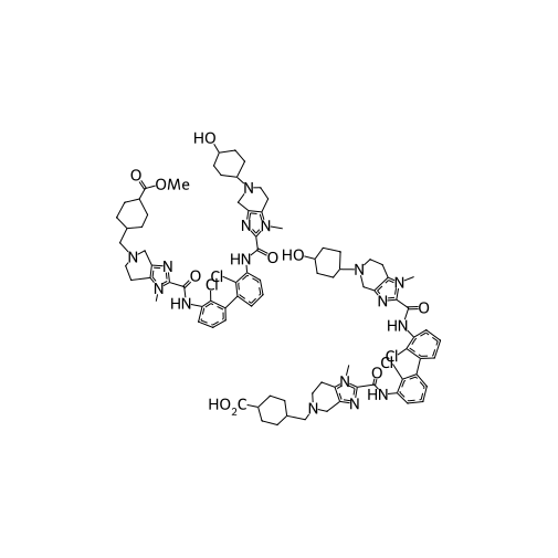 COC(=O)C1CCC(CN2CCc3c(nc(C(=O)Nc4cccc(-c5cccc(NC(=O)c6nc7c(n6C)CCN(C6CCC(O)CC6)C7)c5Cl)c4Cl)n3C)C2)CC1.Cn1c(C(=O)Nc2cccc(-c3cccc(NC(=O)c4nc5c(n4C)CCN(C4CCC(O)CC4)C5)c3Cl)c2Cl)nc2c1CCN(CC1CCC(C(=O)O)CC1)C2